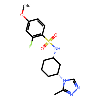 CCCCOc1ccc(S(=O)(=O)N[C@H]2CCC[C@@H](n3cnnc3C)C2)c(F)c1